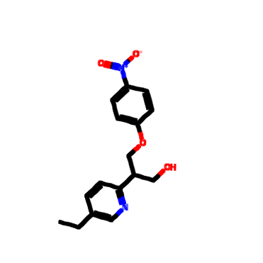 CCc1ccc(C(CO)COc2ccc([N+](=O)[O-])cc2)nc1